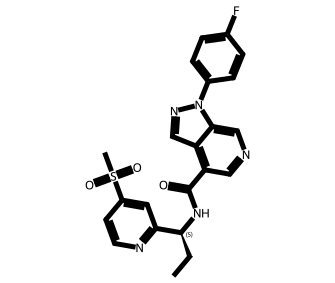 CC[C@H](NC(=O)c1cncc2c1cnn2-c1ccc(F)cc1)c1cc(S(C)(=O)=O)ccn1